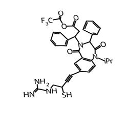 CC(C)N1C(=O)C(c2ccccc2)N(C(CC(=O)OC(=O)C(F)(F)F)c2ccccc2)C(=O)c2cc(C#CC(S)CNC(=N)N)ccc21